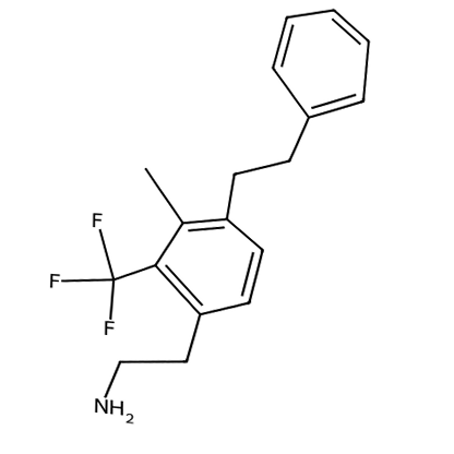 Cc1c(CCc2ccccc2)ccc(CCN)c1C(F)(F)F